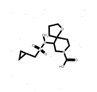 CN(C1CN(C(=O)O)CCC12CCCO2)S(=O)(=O)CC1CC1